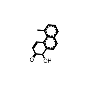 Cc1cccc2ccc3c(c12)C=CC(=O)C3O